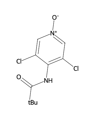 CC(C)(C)C(=O)Nc1c(Cl)c[n+]([O-])cc1Cl